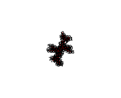 C=Cc1ccc(N(c2ccc(C)cc2)c2ccc(-c3ccc4c(c3)C(CCCCCC)(CCCCCCCC)c3cc5c(cc3-4)C(CCCCCCCC)(CCCCCCCC)c3cc(-c4ccc(N(c6ccc(C)cc6)c6ccc(C(C)(C)C)cc6)cc4)ccc3-5)cc2)cc1